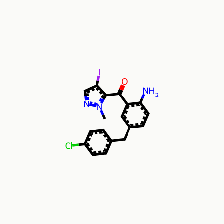 Cn1ncc(I)c1C(=O)c1cc(Cc2ccc(Cl)cc2)ccc1N